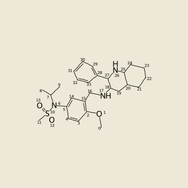 COc1ccc(N(C(C)C)S(C)(=O)=O)cc1CNC1CC2CCCCC2NC1c1ccccc1